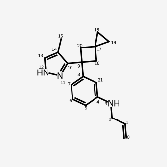 C=CCNc1cccc(C2(c3n[nH]cc3C)CC3(CC3)C2)c1